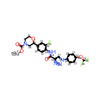 CC(C)(C)OC(=O)N1CCOC(c2ccc(NC(=O)c3cn(-c4ccc(OC(F)F)cc4)nn3)c(F)c2)C1